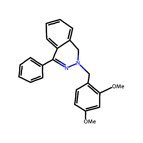 COc1ccc(CN2Cc3ccccc3C(c3ccccc3)=N2)c(OC)c1